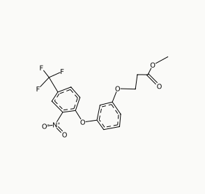 COC(=O)CCOc1cccc(Oc2ccc(C(F)(F)F)cc2[N+](=O)[O-])c1